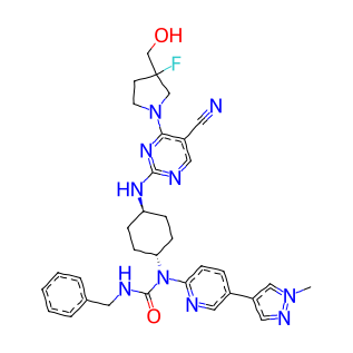 Cn1cc(-c2ccc(N(C(=O)NCc3ccccc3)[C@H]3CC[C@H](Nc4ncc(C#N)c(N5CCC(F)(CO)C5)n4)CC3)nc2)cn1